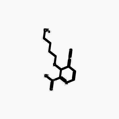 CCCCCOC1C(=C=O)C=CN=C1[N+](=O)[O-]